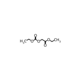 CCOC(=O)COC(=O)OCC